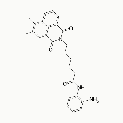 Cc1cc2c3c(cccc3c1C)C(=O)N(CCCCCC(=O)Nc1ccccc1N)C2=O